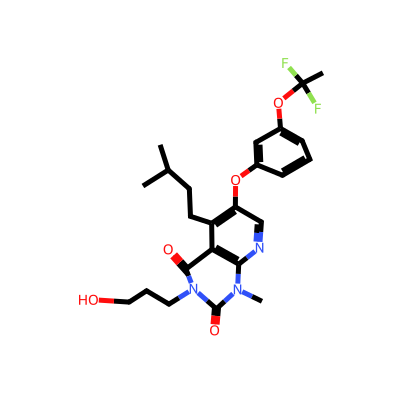 CC(C)CCc1c(Oc2cccc(OC(C)(F)F)c2)cnc2c1c(=O)n(CCCO)c(=O)n2C